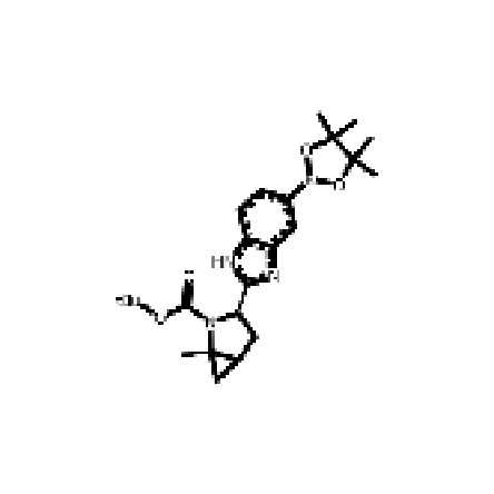 CC(C)(C)OC(=O)N1[C@@H](c2nc3cc(B4OC(C)(C)C(C)(C)O4)ccc3[nH]2)CC2C[C@@]21C